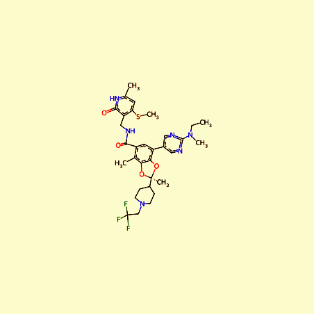 CCN(C)c1ncc(-c2cc(C(=O)NCc3c(SC)cc(C)[nH]c3=O)c(C)c3c2O[C@@](C)(C2CCN(CC(F)(F)F)CC2)O3)cn1